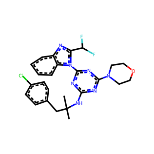 CC(C)(Cc1ccc(Cl)cc1)Nc1nc(N2CCOCC2)nc(-n2c(C(F)F)nc3ccccc32)n1